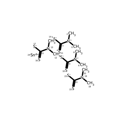 CN(C)C(=S)[S-].CN(C)C(=S)[S-].CN(C)C(=S)[S-].CN(C)C(=S)[S-].[Sn+4]